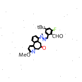 COc1ccc2c(n1)CC(=O)Cc1c-2cccc1N(C)/N=C\c1cc(C(C)(C)C)cc(F)c1C=O